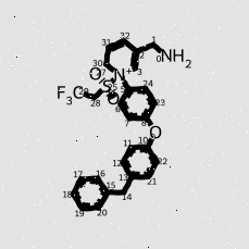 NCC1=C[N+](c2ccc(Oc3ccc(Cc4ccccc4)cc3)cc2)(S(=O)(=O)CC(F)(F)F)CC=C1